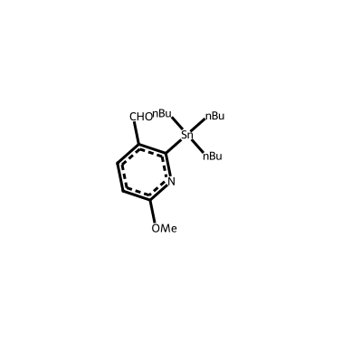 CCC[CH2][Sn]([CH2]CCC)([CH2]CCC)[c]1nc(OC)ccc1C=O